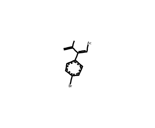 C=C(C)/C(=C\C(C)=O)c1ccc(Br)cc1